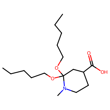 CCCCCOC1(OCCCCC)CC(C(=O)O)CCN1C